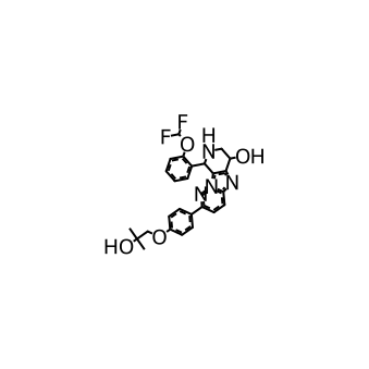 CC(C)(O)COc1ccc(-c2ccc3nc4c(n3n2)C(c2ccccc2OC(F)F)NCC4O)cc1